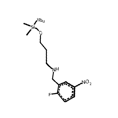 CC(C)(C)[Si](C)(C)OCCCNCc1cc([N+](=O)[O-])ccc1F